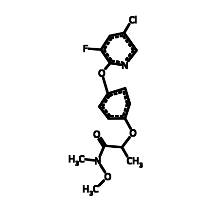 CON(C)C(=O)C(C)Oc1ccc(Oc2ncc(Cl)cc2F)cc1